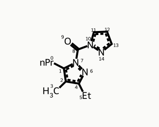 CCCc1c(C)c(CC)nn1C(=O)n1cccn1